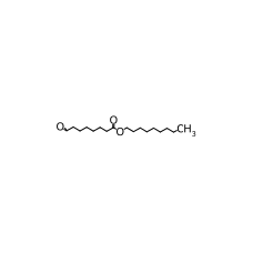 CCCCCCCCCOC(=O)CCCCCCC=O